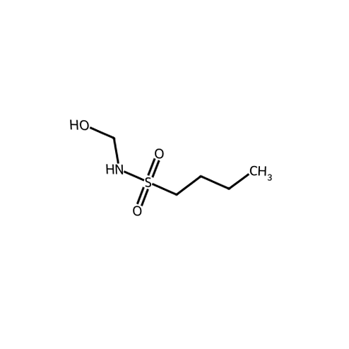 CCCCS(=O)(=O)NCO